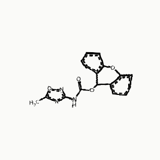 Cc1nc(NC(=O)OC2c3ccccc3Oc3ccccc32)no1